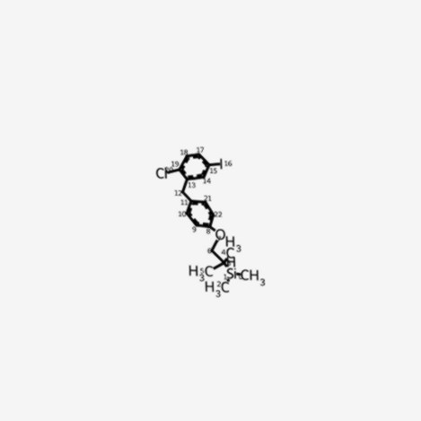 C[SiH](C)C(C)(C)COc1ccc(Cc2cc(I)ccc2Cl)cc1